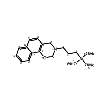 CO[Si](CCCN1COc2c(ccc3ccccc23)C1)(OC)OC